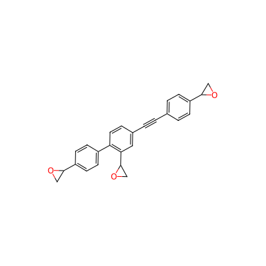 C(#Cc1ccc(-c2ccc(C3CO3)cc2)c(C2CO2)c1)c1ccc(C2CO2)cc1